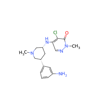 CN1C[C@H](Nc2cnn(C)c(=O)c2Cl)C[C@H](c2cccc(N)c2)C1